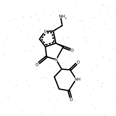 NCc1scc2c1C(=O)N(C1CCC(=O)NC1=O)C2=O